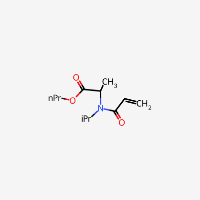 C=CC(=O)N(C(C)C)C(C)C(=O)OCCC